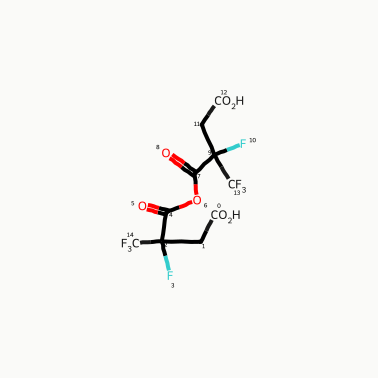 O=C(O)CC(F)(C(=O)OC(=O)C(F)(CC(=O)O)C(F)(F)F)C(F)(F)F